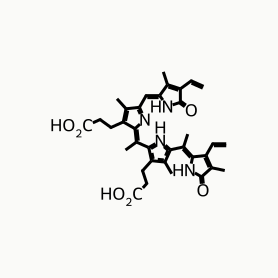 C=CC1=C(C)/C(=C/C2=NC(=C(/C)c3[nH]c(/C(C)=C4\NC(=O)C(C)=C4C=C)c(C)c3CCC(=O)O)/C(CCC(=O)O)=C2C)NC1=O